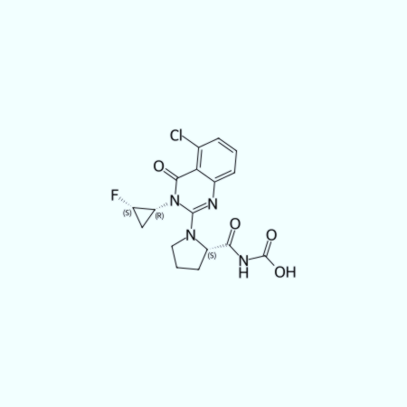 O=C(O)NC(=O)[C@@H]1CCCN1c1nc2cccc(Cl)c2c(=O)n1[C@@H]1C[C@@H]1F